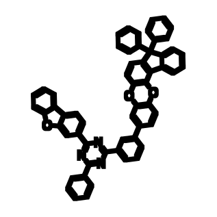 c1ccc(-c2nc(-c3cccc(-c4ccc5c(c4)Oc4ccc6c(c4O5)-c4ccccc4C6(c4ccccc4)c4ccccc4)c3)nc(-c3ccc4c(c3)oc3ccccc34)n2)cc1